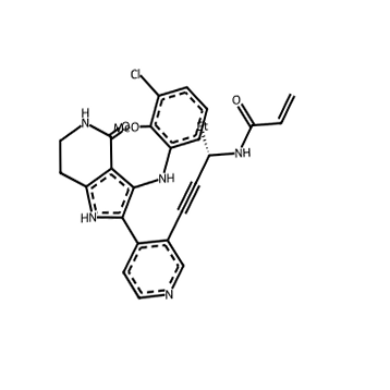 C=CC(=O)N[C@H](C#Cc1cnccc1-c1[nH]c2c(c1Nc1cccc(Cl)c1OC)C(=O)NCC2)CC